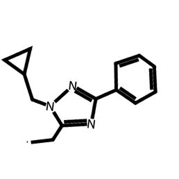 [CH2]Cc1nc(-c2ccccc2)nn1CC1CC1